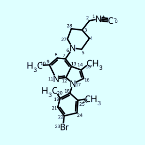 [C-]#[N+]CC1CCN(c2cc(C)nc3c2c(C)cn3-c2c(C)cc(Br)cc2C)CC1